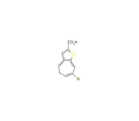 O=C(O)c1cc2c(s1)=CC(Br)=CCC=2